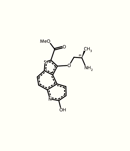 COC(=O)c1sc2ccc3nc(O)ccc3c2c1OC[C@@H](C)N